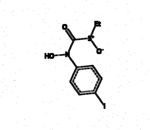 CC[S+]([O-])C(=O)N(O)c1ccc(I)cc1